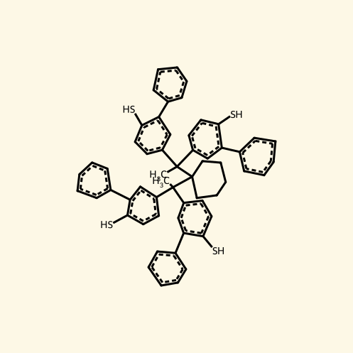 CC(c1ccc(S)c(-c2ccccc2)c1)(c1ccc(S)c(-c2ccccc2)c1)C1(C(C)(c2ccc(S)c(-c3ccccc3)c2)c2ccc(S)c(-c3ccccc3)c2)CCCCC1